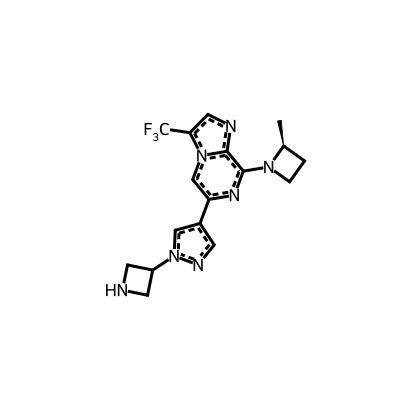 C[C@H]1CCN1c1nc(-c2cnn(C3CNC3)c2)cn2c(C(F)(F)F)cnc12